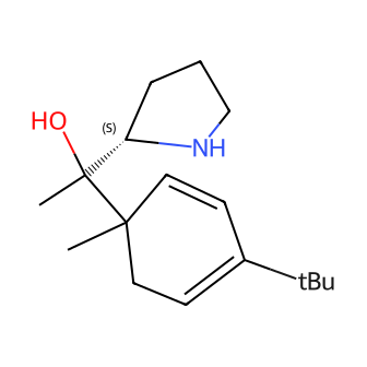 CC(C)(C)C1=CCC(C)(C(C)(O)[C@@H]2CCCN2)C=C1